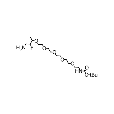 CC(OCCOCCOCCOCCOCCNC(=O)OC(C)(C)C)C(F)CN